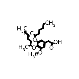 CCCCCC(C)Oc1cc(CC(=O)O)cc(OC)c1OC(C)CCCCC